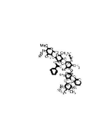 CCC1O[C@H](O[C@@H]2C(C)O[C@H](O[C@@H]3C(CC)O[C@H](OC)[C@@H](N=[N+]=[N-])C3C)[C@@H](OC(=O)c3ccccc3)C2C)[C@@H](N=[N+]=[N-])C(C)[C@@H]1O[C@@H]1O[C@@H](C(C)=O)[C@@H](O[C@H]2O[C@@H](CC)[C@@H](C)C(C)[C@@H]2N=[N+]=[N-])C(C)[C@@H]1OC1CCCCO1